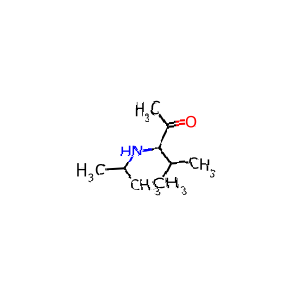 CC(=O)[C@H](NC(C)C)C(C)C